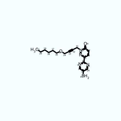 Bc1cnc(-c2ccc(=O)n(CC#CCOCCCCCC)n2)nc1